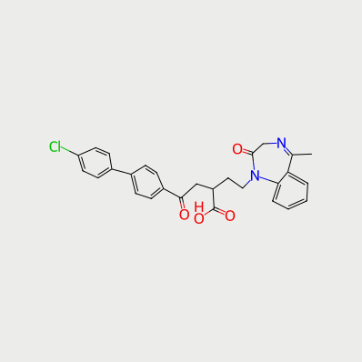 CC1=NCC(=O)N(CCC(CC(=O)c2ccc(-c3ccc(Cl)cc3)cc2)C(=O)O)c2ccccc21